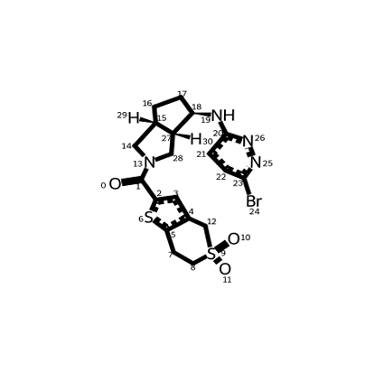 O=C(c1cc2c(s1)CCS(=O)(=O)C2)N1C[C@@H]2CC[C@@H](Nc3ccc(Br)nn3)[C@@H]2C1